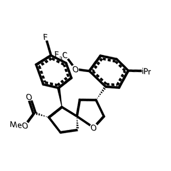 COC(=O)[C@H]1CC[C@@]2(C[C@H](c3cc(C(C)C)ccc3OC(F)(F)F)CO2)[C@@H]1c1ccc(F)cc1